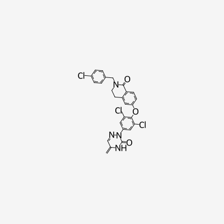 C=C1C=NN(c2cc(Cl)c(Oc3ccc4c(c3)CCN(Cc3ccc(Cl)cc3)C4=O)c(Cl)c2)C(=O)N1